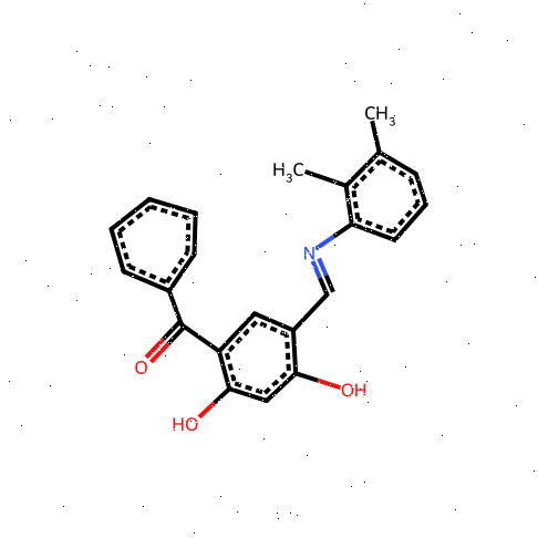 Cc1cccc(/N=C/c2cc(C(=O)c3ccccc3)c(O)cc2O)c1C